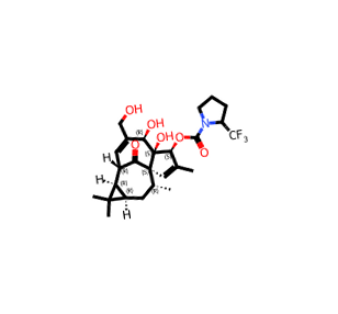 CC1=C[C@]23C(=O)[C@@H](C=C(CO)[C@@H](O)[C@]2(O)[C@H]1OC(=O)N1CCCC1C(F)(F)F)[C@H]1[C@@H](C[C@H]3C)C1(C)C